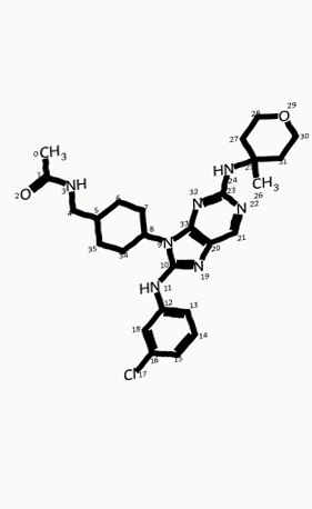 CC(=O)NCC1CCC(n2c(Nc3cccc(Cl)c3)nc3cnc(NC4(C)CCOCC4)nc32)CC1